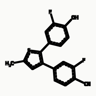 Cc1cc(-c2ccc(C#N)c(F)c2)c(-c2ccc(O)c(F)c2)s1